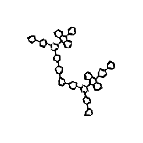 c1ccc(-c2ccc(-c3nc(-c4ccc(-c5ccc(-c6cccc(-c7ccc(-c8nc(-c9ccc(-c%10ccccc%10)cc9)nc(-c9c%10ccccc%10c(-c%10ccc(-c%11ccccc%11)cc%10)c%10ccccc9%10)n8)cc7)c6)cc5)cc4)nc(-c4c5ccccc5c(-c5ccccc5)c5ccccc45)n3)cc2)cc1